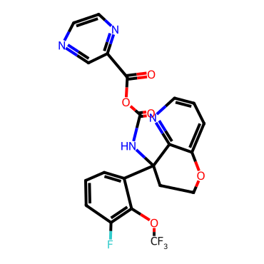 O=C(NC1(c2cccc(F)c2OC(F)(F)F)CCOc2cccnc21)OC(=O)c1cnccn1